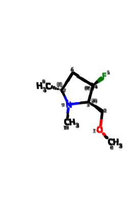 COC[C@@H]1[C@H](F)C[C@@H](C)N1C